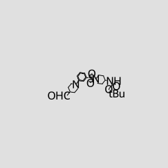 CC(C)(C)OC(=O)NC1CCN(S(=O)(=O)c2cccc(N3CCC(C=O)CC3)c2)CC1